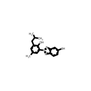 Cc1cc(CC(C)C)c(O)c(-n2nc3ccc(S)cc3n2)c1